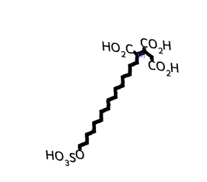 O=C(O)C/C(C(=O)O)=C(\CCCCCCCCCCCCCCCCOS(=O)(=O)O)C(=O)O